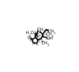 C=C[C@]1(C)CC[C@]2(C)C(C)CC[C@]3(CCC(=O)C23)[C@@H](C)C1O